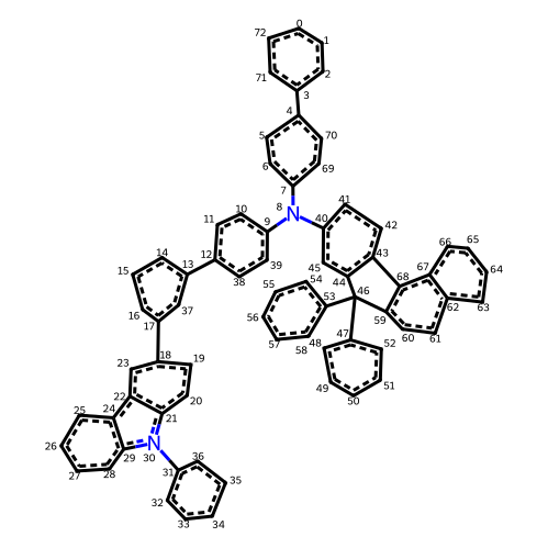 c1ccc(-c2ccc(N(c3ccc(-c4cccc(-c5ccc6c(c5)c5ccccc5n6-c5ccccc5)c4)cc3)c3ccc4c(c3)C(c3ccccc3)(c3ccccc3)c3ccc5ccccc5c3-4)cc2)cc1